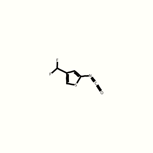 O=C=Nc1cc(C(F)F)cs1